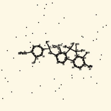 CCCCCc1ccc([C@@](C)(F)Oc2ccc3c(c2F)C(F)(F)C(F)(F)c2c-3ccc(CCC)c2F)cc1F